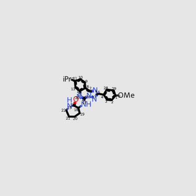 COc1ccc(-c2nc3c4ccc(C(C)C)cc4nc(NC4CCCCNC4=O)n3n2)cc1